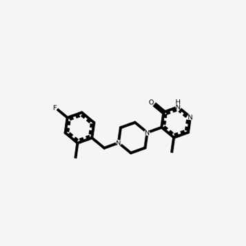 Cc1cc(F)ccc1CN1CCN(c2c(C)cn[nH]c2=O)CC1